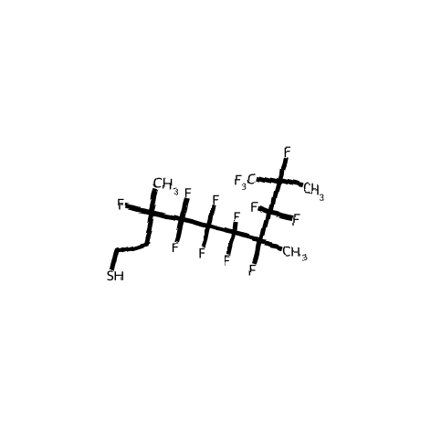 CC(F)(CCS)C(F)(F)C(F)(F)C(F)(F)C(C)(F)C(F)(F)C(C)(F)C(F)(F)F